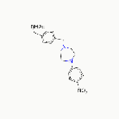 CC(=O)NCc1ccc(CN2CCN(c3ccc([N+](=O)[O-])cc3)CC2)cc1